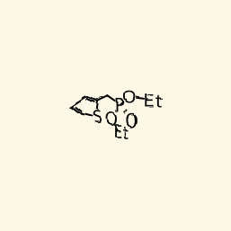 CCOP(=O)(Cc1cccs1)OCC